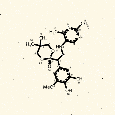 COc1cc(C(CNc2cnc(C)nc2C)P2(=O)OCC(C)(C)CO2)cc(C)c1O